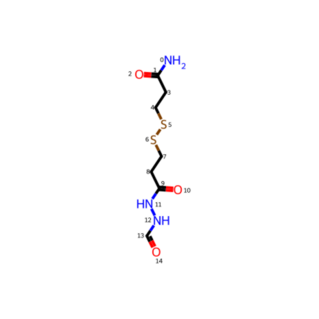 NC(=O)CCSSCCC(=O)NNC=O